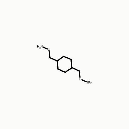 CC(C)(C)OCC1CCC(CON)CC1